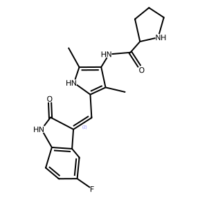 Cc1[nH]c(/C=C2\C(=O)Nc3ccc(F)cc32)c(C)c1NC(=O)C1CCCN1